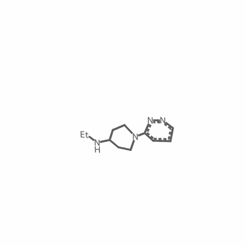 CCNC1CCN(c2cccnn2)CC1